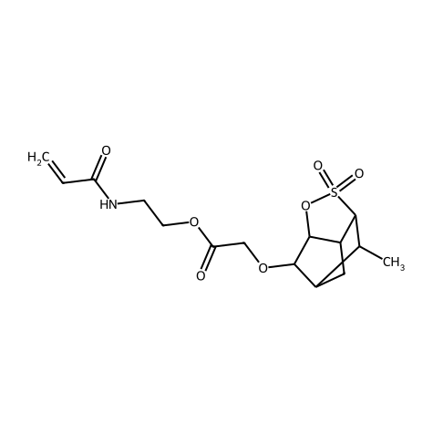 C=CC(=O)NCCOC(=O)COC1C2CC3C1OS(=O)(=O)C3C2C